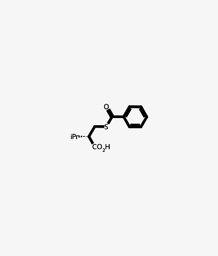 CC(C)[C@H](CSC(=O)c1ccccc1)C(=O)O